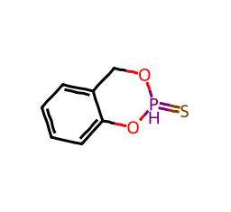 S=[PH]1OCc2ccccc2O1